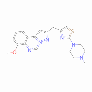 COc1cccc2c1ncn1nc(Cc3csc(N4CCN(C)CC4)n3)cc21